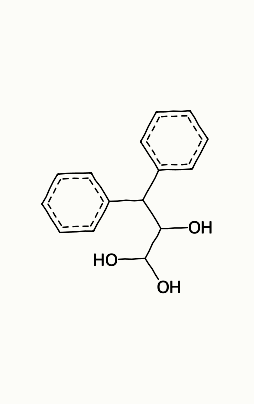 OC(O)C(O)C(c1ccccc1)c1ccccc1